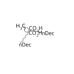 CCCCCCCCCCCCCCCCC1(C(=O)O)CC=C(C)CC1(CCCCCCCCCCCCCCCC)C(=O)O